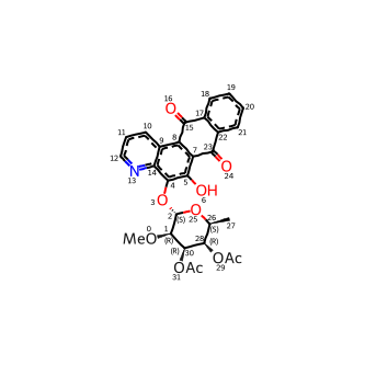 CO[C@H]1[C@H](Oc2c(O)c3c(c4cccnc24)C(=O)c2ccccc2C3=O)O[C@@H](C)[C@@H](OC(C)=O)[C@H]1OC(C)=O